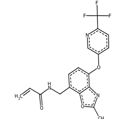 C=CC(=O)NCc1ccc(Oc2ccc(C(F)(F)F)nc2)c2nc(C)oc12